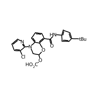 CC(C)(C)c1ccc(NC(=O)c2cccc3c2OC(OC(=O)O)CN3c2ncccc2Cl)cc1